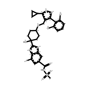 CS(=O)(=O)NC(=O)c1cc(F)c2nc(C3(O)CCC(OCc4c(-c5c(Cl)cccc5Cl)noc4C4CC4)CC3)sc2c1